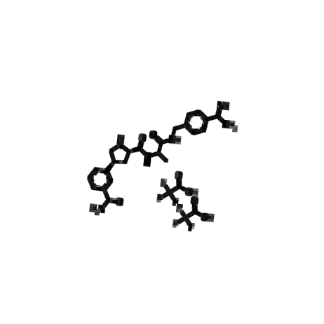 CC(NC(=O)[C@H]1C[C@@H](c2cccc(C(N)=O)c2)CN1)C(=O)NCc1ccc(C(=N)N)cc1.O=C(O)C(F)(F)F.O=C(O)C(F)(F)F